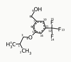 CC(C)COc1cc([CH]O)cc(C(F)(F)F)c1